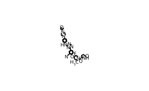 C[C@H]1CC(Oc2ccc(-c3ncnc(Nc4ccc(N5CCN(C6COC6)CC5)cc4)n3)cc2C#N)[C@H](F)CN1C(=O)[C@H]1CCC(=O)N1